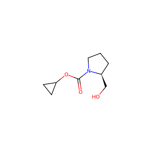 O=C(OC1CC1)N1CCC[C@H]1CO